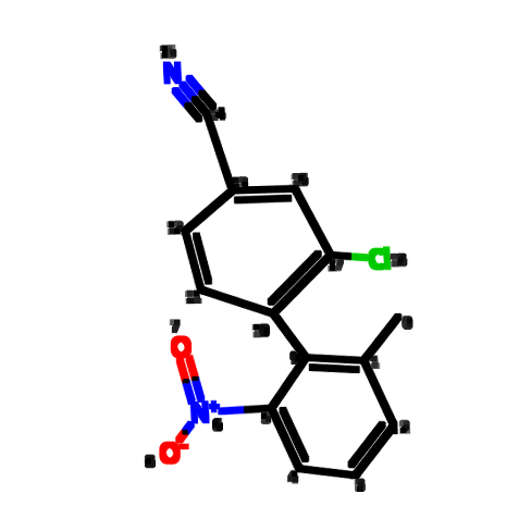 Cc1[c]ccc([N+](=O)[O-])c1-c1ccc(C#N)cc1Cl